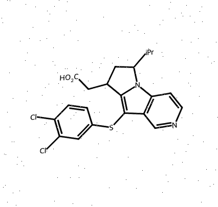 CC(C)C1CC(CC(=O)O)c2c(Sc3ccc(Cl)c(Cl)c3)c3cnccc3n21